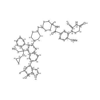 COc1ccc(C(=O)NC2(C)CCN(CC3CCN(c4nc(C(CO)(OC5CC5)c5ccccc5)c5cc(-c6cn(C)c(=O)c7occc67)ccc5n4)CC3)CC2)cc1N1CCC(=O)NC1=O